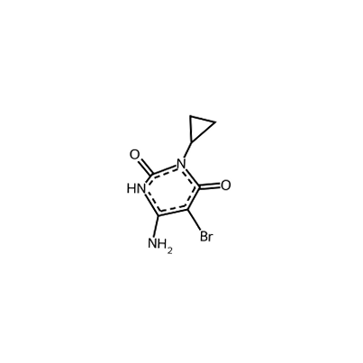 Nc1[nH]c(=O)n(C2CC2)c(=O)c1Br